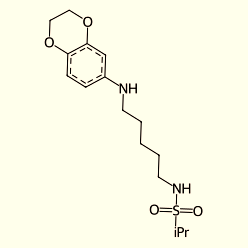 CC(C)S(=O)(=O)NCCCCCNc1ccc2c(c1)OCCO2